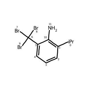 CC(C)c1cccc(C(Br)(Br)Br)c1N